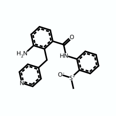 C[S+]([O-])c1ccccc1NC(=O)c1cccc(N)c1Cc1ccncc1